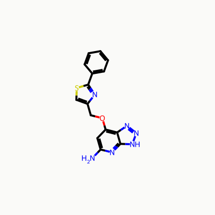 Nc1cc(OCc2csc(-c3ccccc3)n2)c2nn[nH]c2n1